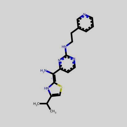 CC(C)C1=CS/C(=C(/N)c2ccnc(NCCc3cccnc3)n2)N1